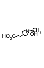 C[C@H](O)CN1CCC(CCCC(=O)O)CC1